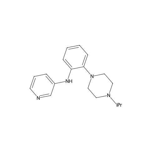 CC(C)N1CCN(c2ccccc2Nc2cccnc2)CC1